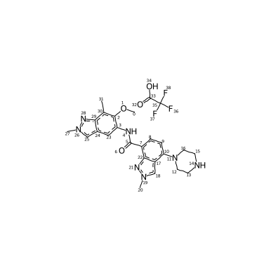 COc1c(NC(=O)c2ccc(N3CCNCC3)c3cn(C)nc23)cc2cn(C)nc2c1C.O=C(O)C(F)(F)F